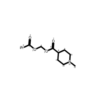 CC(C)C(=O)OCOC(=O)C1CCN(C)CC1